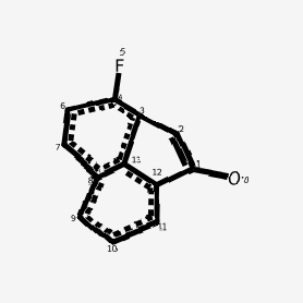 [O]C1=Cc2c(F)ccc3cccc1c23